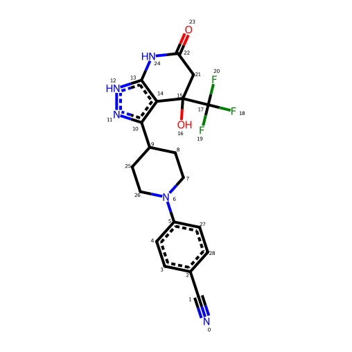 N#Cc1ccc(N2CCC(c3n[nH]c4c3C(O)(C(F)(F)F)CC(=O)N4)CC2)cc1